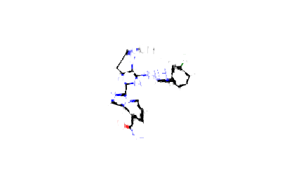 CN1CCc2nc(-c3ncc4c(C(N)=O)cccn34)nc(NCc3cccc(F)c3)c21